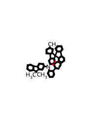 Cc1ccc2c(c1)C1(c3ccccc3-c3ccccc31)c1ccc(N(c3ccc4c(c3)C(C)(C)c3ccccc3-4)c3ccccc3-c3ccccc3)cc1-2